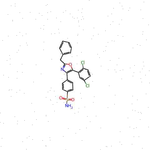 NS(=O)(=O)c1ccc(-c2nc(Cc3ccccc3)oc2-c2cc(Cl)ccc2Cl)cc1